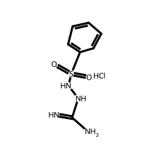 Cl.N=C(N)NNS(=O)(=O)c1ccccc1